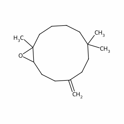 C=C1CCC2OC2(C)CCCCC(C)(C)CC1